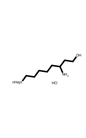 CCCCCCCCCCCCC(N)CCO.Cl